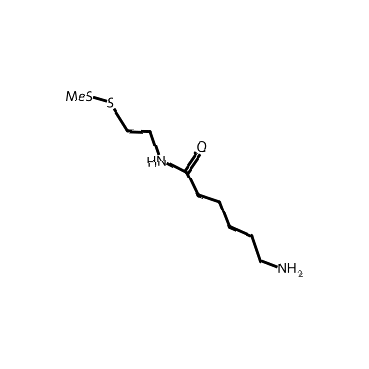 CSSCCNC(=O)CCCCCN